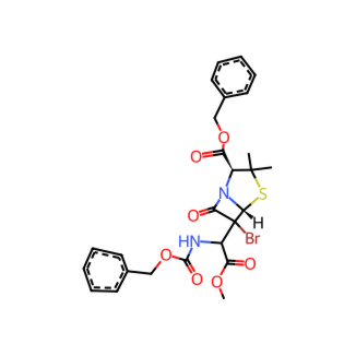 COC(=O)C(NC(=O)OCc1ccccc1)C1(Br)C(=O)N2[C@@H](C(=O)OCc3ccccc3)C(C)(C)S[C@@H]21